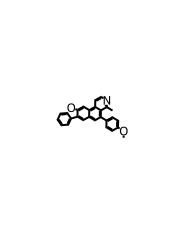 COc1ccc(-c2cc3cc4c(cc3c3ccnc(C)c23)oc2ccccc24)cc1